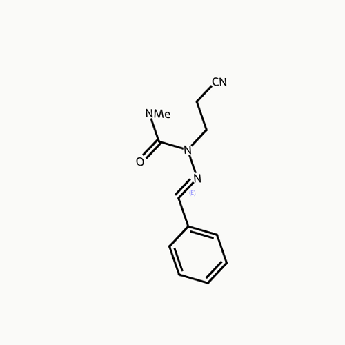 CNC(=O)N(CCC#N)/N=C/c1ccccc1